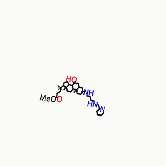 COC(=O)CC[C@@H](C)C1CCC2C3C(CC[C@@]21C)[C@@]1(C)CC[C@@H](NCCCCNCc2ccccn2)CC1C[C@H]3O